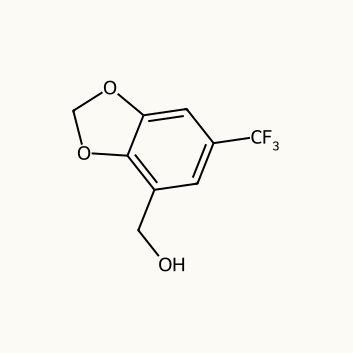 OCc1cc(C(F)(F)F)cc2c1OCO2